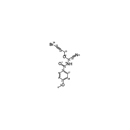 COc1ccc(C(=O)NC(C#N)OCC#CBr)cc1